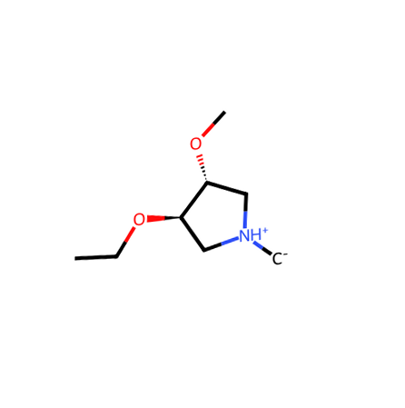 [CH2-][NH+]1C[C@@H](OC)[C@H](OCC)C1